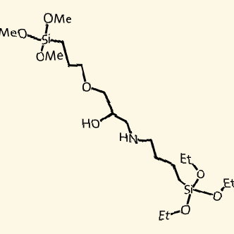 CCO[Si](CCCCNCC(O)COCCC[Si](OC)(OC)OC)(OCC)OCC